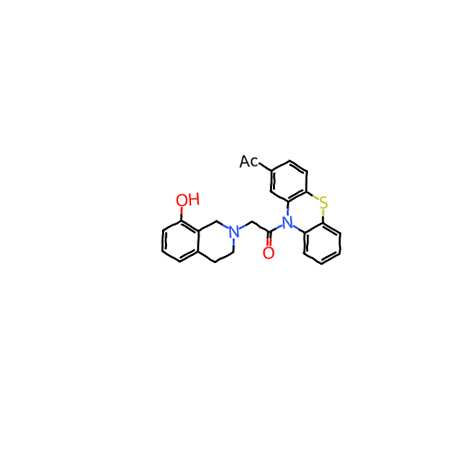 CC(=O)c1ccc2c(c1)N(C(=O)CN1CCc3cccc(O)c3C1)c1ccccc1S2